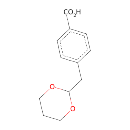 O=C(O)c1ccc(CC2OCCCO2)cc1